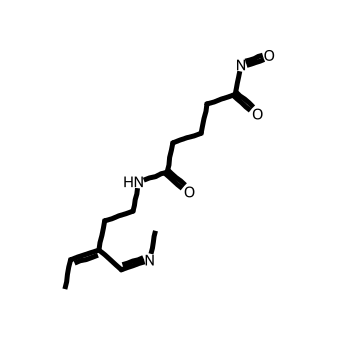 C/C=C(\C=N/C)CCNC(=O)CCCC(=O)N=O